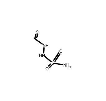 NS(=O)(=O)NNC=S